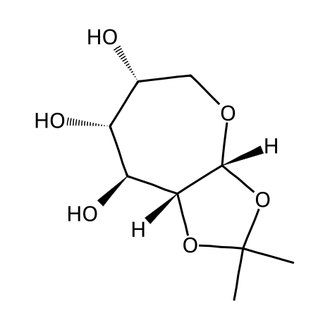 CC1(C)O[C@H]2OC[C@@H](O)[C@@H](O)[C@H](O)[C@H]2O1